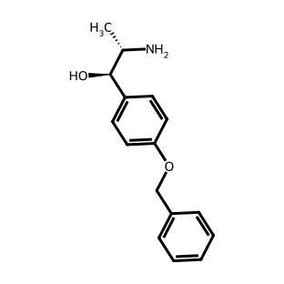 C[C@H](N)[C@H](O)c1ccc(OCc2ccccc2)cc1